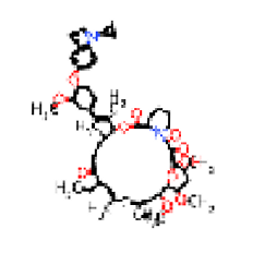 CCC1/C=C(\C)CC(C)CC(OC)C2OC(O)(C(=O)C(=O)N3CCCCC3C(=O)OC(C(C)=CC3CCC(Oc4ccc5c(ccn5C5CC5)c4)C(OC)C3)C(C)CCC1=O)C(C)CC2OC